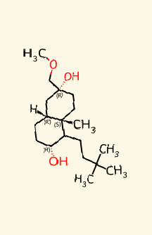 COC[C@@]1(O)CC[C@]2(C)C(CCC(C)(C)C)[C@H](O)CC[C@@H]2C1